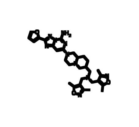 Cc1noc(C)c1CN(Cc1c(C)noc1C)CC1CCC2CN(c3cc4nc(-c5ccco5)nn4c(N)n3)CCN2C1